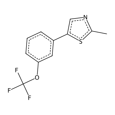 Cc1ncc(-c2cccc(OC(F)(F)F)c2)s1